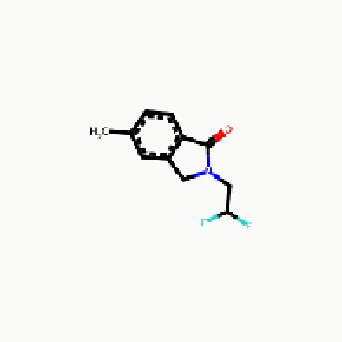 Cc1ccc2c(c1)CN(CC(F)F)C2=O